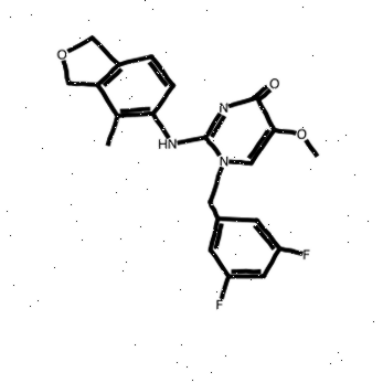 COc1cn(Cc2cc(F)cc(F)c2)c(Nc2ccc3c(c2C)COC3)nc1=O